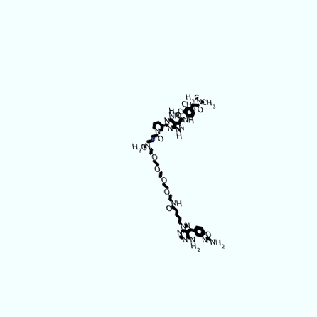 Cc1c(CC(=O)N(C)C)ccc(NC(=O)c2n[nH]c3nc([C@@H]4CCCN(C(=O)/C=C/CN(C)CCOCCOCCOCCOCCNC(=O)CCCCn5nc(-c6ccc7oc(N)nc7c6)c6c(N)ncnc65)C4)nc(N)c23)c1C